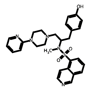 CN(C(Cc1ccc(O)cc1)CN1CCN(c2ccccn2)CC1)S(=O)(=O)c1cccc2cnccc12